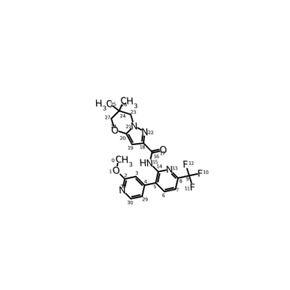 COc1cc(-c2ccc(C(F)(F)F)nc2NC(=O)c2cc3n(n2)CC(C)(C)CO3)ccn1